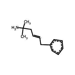 CC(C)(N)C/C=[C]/Cc1ccccc1